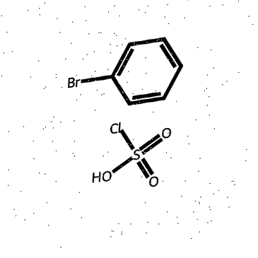 Brc1ccccc1.O=S(=O)(O)Cl